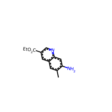 CCOC(=O)c1cnc2cc(N)c(C)cc2c1